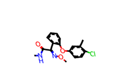 CNC(=O)/C(=N/OC)c1ccccc1Oc1ccc(Cl)c(C)c1